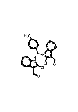 Cc1ccc(Cn2c(Cl)c(C=O)c3ccccc32)cc1.O=Cc1c(Cl)[nH]c2ccccc12